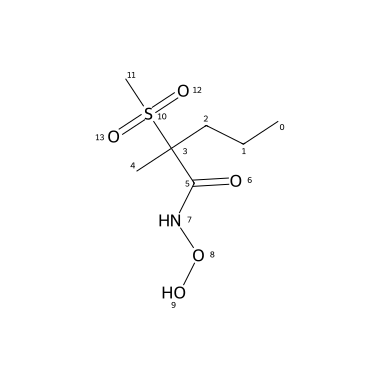 CCCC(C)(C(=O)NOO)S(C)(=O)=O